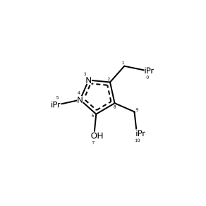 CC(C)Cc1nn(C(C)C)c(O)c1CC(C)C